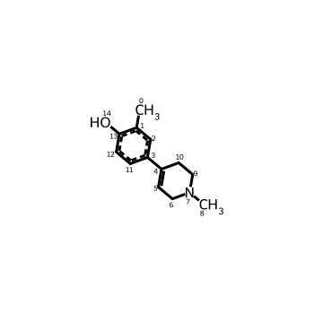 Cc1cc(C2=CCN(C)CC2)ccc1O